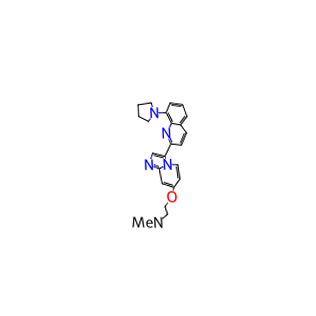 CNCCOc1ccn2c(-c3ccc4cccc(N5CCCC5)c4n3)cnc2c1